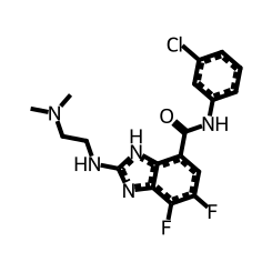 CN(C)CCNc1nc2c(F)c(F)cc(C(=O)Nc3cccc(Cl)c3)c2[nH]1